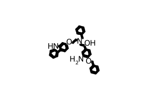 Nc1cc(C(O)CN(CCOc2ccc3c(c2)[nH]c2ccccc23)Cc2ccccc2)ccc1OCc1ccccc1